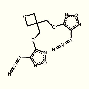 [N-]=[N+]=Nc1nonc1OCC1(COc2nonc2N=[N+]=[N-])COC1